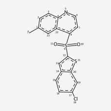 [CH2]c1ccc2nccc(S(=O)(=O)c3cc4ccc(Cl)cc4s3)c2c1